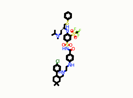 CC(C)N(C)CC[C@H](CSc1ccccc1)Nc1ccc(S(=O)(=O)NC(=O)c2ccc(NCCNCC3=C(c4ccc(Cl)cc4)CCC(C)(C)C3)cc2)cc1S(=O)(=O)C(F)(F)F